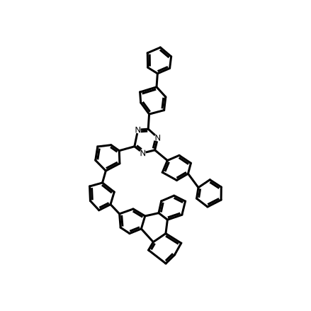 c1ccc(-c2ccc(-c3nc(-c4ccc(-c5ccccc5)cc4)nc(-c4cccc(-c5cccc(-c6ccc7c8ccccc8c8ccccc8c7c6)c5)c4)n3)cc2)cc1